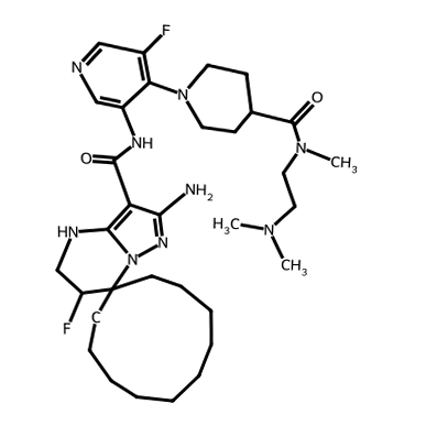 CN(C)CCN(C)C(=O)C1CCN(c2c(F)cncc2NC(=O)c2c(N)nn3c2NCC(F)C32CCCCCCCCCC2)CC1